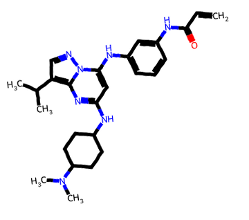 C=CC(=O)Nc1cccc(Nc2cc(NC3CCC(N(C)C)CC3)nc3c(C(C)C)cnn23)c1